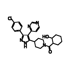 O=C(C1CCCCC1O)N1CCC(c2[nH]nc(-c3ccc(Cl)cc3)c2-c2ccncn2)CC1